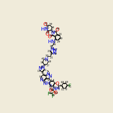 CC(Oc1cc(-c2nn(C)c3c(-c4cnn(C5CCN(CCc6cn(CCNc7cccc8c7C(=O)N(C7CCC(=O)NC7=O)C8=O)nn6)CC5)c4)cnc(N)c23)ccc1NS(=O)(=O)C(F)F)c1ccc(F)cc1